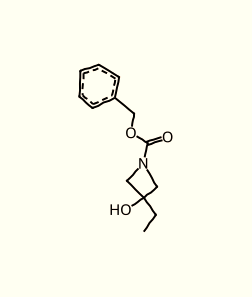 CCC1(O)CN(C(=O)OCc2ccccc2)C1